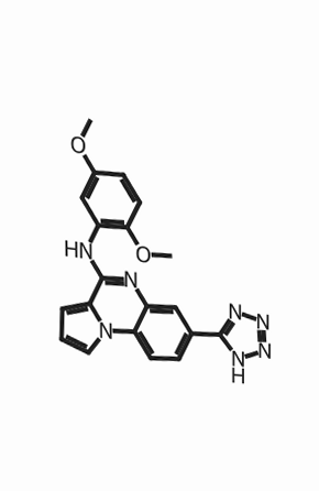 COc1ccc(OC)c(Nc2nc3cc(-c4nnn[nH]4)ccc3n3cccc23)c1